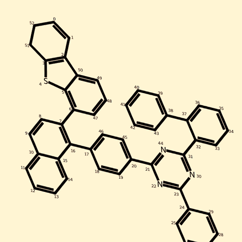 C1=Cc2c(sc3c(-c4ccc5ccccc5c4-c4ccc(-c5nc(-c6ccccc6)nc(-c6ccccc6-c6ccccc6)n5)cc4)cccc23)CC1